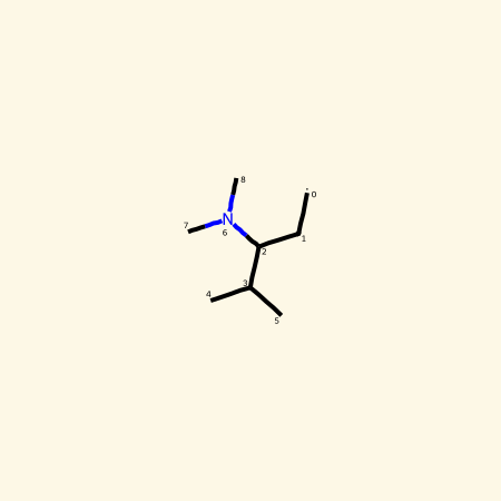 [CH2]CC(C(C)C)N(C)C